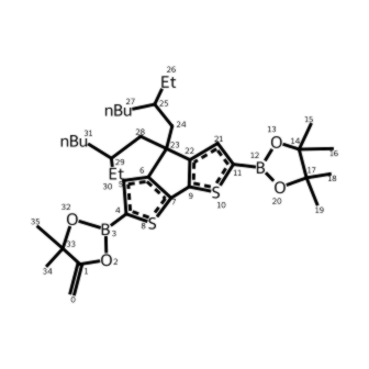 C=C1OB(c2cc3c(s2)-c2sc(B4OC(C)(C)C(C)(C)O4)cc2C3(CC(CC)CCCC)CC(CC)CCCC)OC1(C)C